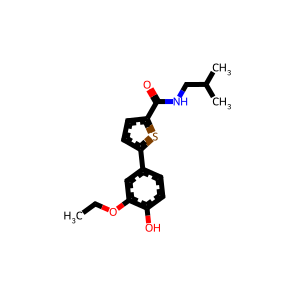 CCOc1cc(-c2ccc(C(=O)NCC(C)C)s2)ccc1O